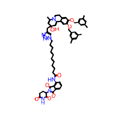 Cc1cc(C)cc(COc2cc3c(cc2OCc2cc(C)cc(C)c2)C2CC(O)(Cc4cn(CCCCCCCCCCC(=O)Nc5cccc6c5C(=O)N(C5CCC(=O)NC5=O)C6=O)nn4)CC(C)N2CC3)c1